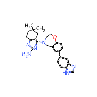 CC1(C)CCc2nc(N)nc(N3CCOc4ccc(-c5ccc6[nH]cnc6c5)cc4C3)c2C1